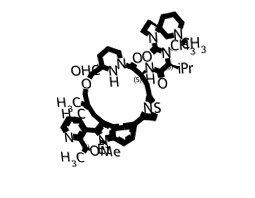 CCn1c(-c2cccnc2[C@H](C)OC)c2c3cc(ccc31)-c1csc(n1)C[C@H](NC(=O)[C@H](C(C)C)N(C)C(=O)N1CC[C@]13CCCN(C)C3)C(=O)N1CCC[C@](C=O)(COCC(C)(C)C2)N1